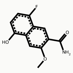 COc1cc2c(O)ccc(F)c2cc1C(N)=O